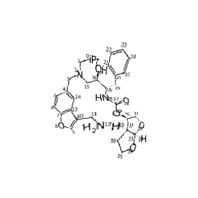 CC(C)CN(Cc1ccc2occ(CN)c2c1)C[C@@H](O)[C@H](Cc1ccccc1)NC(=O)O[C@H]1CO[C@H]2OCC[C@H]21